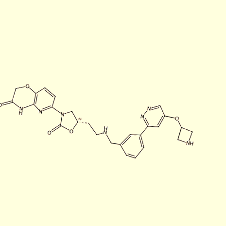 O=C1COc2ccc(N3C[C@H](CCNCc4cccc(-c5cc(OC6CNC6)cnn5)c4)OC3=O)nc2N1